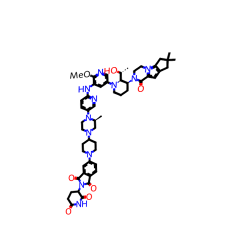 COc1ncc(N2CCC[C@H](N3CCn4c(cc5c4CC(C)(C)C5)C3=O)[C@H]2[C@@H](C)O)cc1Nc1ccc(N2CCN(C3CCN(c4ccc5c(c4)C(=O)N(C4CCC(=O)NC4=O)C5=O)CC3)C[C@@H]2C)cn1